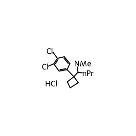 CCCC(NC)C1(c2ccc(Cl)c(Cl)c2)CCC1.Cl